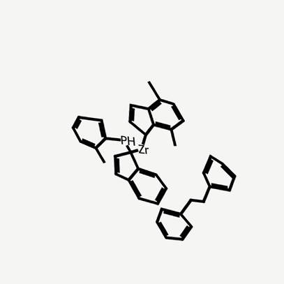 Cc1ccccc1P[C]1([Zr][CH]2C=Cc3c(C)ccc(C)c32)C=Cc2ccccc21.c1ccc(CCc2ccccc2)cc1